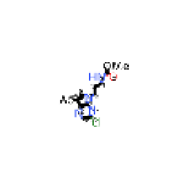 COC(=O)NCCCn1cc(C(C)=O)c2ncc(Cl)nc21